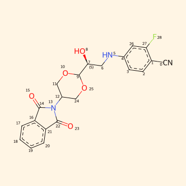 N#Cc1ccc(NC[C@H](O)C2OCC(N3C(=O)c4ccccc4C3=O)CO2)cc1F